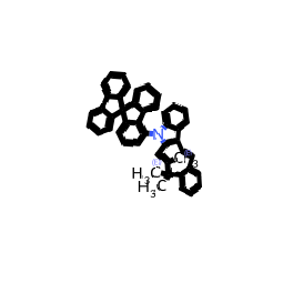 C/C1=C\c2c(c3ccccc3n2-c2cccc3c2-c2ccccc2C32c3ccccc3-c3ccccc32)/C=C/c2ccccc2C1(C)C